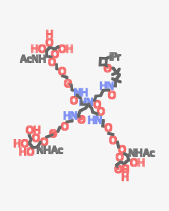 CC(=O)NC1C(OCCOCCOCCNC(=O)CCC(CCC(=O)NCCOCCOCCOC2OC(CO)C(O)C(O)C2NC(C)=O)(CCC(=O)NCCOCCOCCOC2OC(CO)C(O)C(O)C2NC(C)=O)NC(=O)CCCC(=O)NCC(C)(C)CC(C)(C)COC2CCC2C(C)C)OC(CO)C(O)C1O